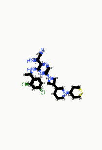 CC(Nc1nc(N2CC(C3CCCN(C4CCSCC4)C3)C2)cnc1C(=N)C#N)c1ccc(Cl)cc1Cl